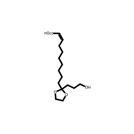 CCCCCCCC/C=C\CCCCCCCC1(CCCO)OCCO1